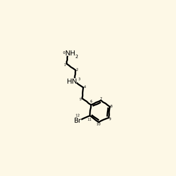 NCCNCCc1ccccc1Br